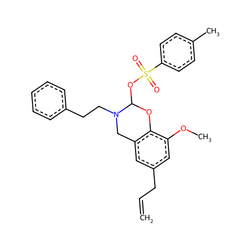 C=CCc1cc2c(c(OC)c1)OC(OS(=O)(=O)c1ccc(C)cc1)N(CCc1ccccc1)C2